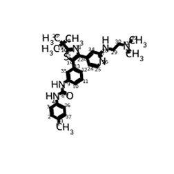 Cc1ccc(NC(=O)Nc2cccc(-c3sc(C(C)(C)C)nc3-c3ccnc(NCCN(C)C)c3)c2)cc1